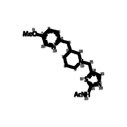 COc1ccc(CC2CCCN(Cc3cnc(NC(C)=O)s3)C2)nc1